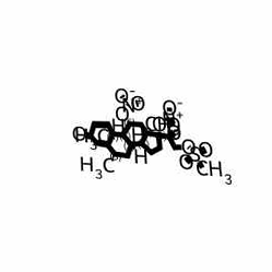 C[C@H]1C[C@@H]2[C@H]([C@@H](O[N+](=O)[O-])C[C@@]3(C)[C@H]2CC[C@]3(O[N+](=O)[O-])C(=O)COS(C)(=O)=O)[C@@]2(C)C=CC(=O)C=C12